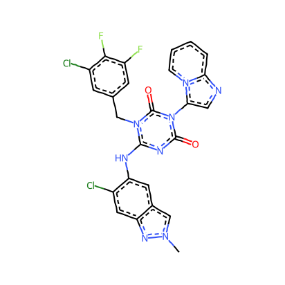 Cn1cc2cc(Nc3nc(=O)n(-c4cnc5ccccn45)c(=O)n3Cc3cc(F)c(F)c(Cl)c3)c(Cl)cc2n1